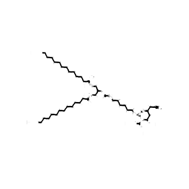 CCCCCCCCCCCCCC(=O)NCC(CNC(=O)CCCCCCCCCCCCC)OC(=O)NCCCCCCOP1OC(CC#N)CC(C)N1C(C)C